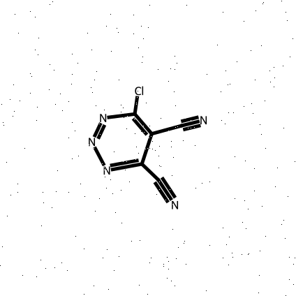 N#Cc1nnnc(Cl)c1C#N